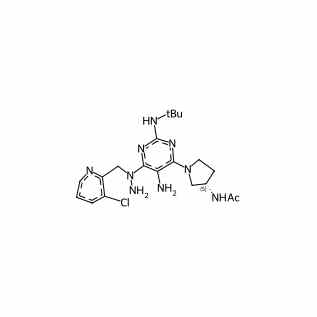 CC(=O)N[C@H]1CCN(c2nc(NC(C)(C)C)nc(N(N)Cc3ncccc3Cl)c2N)C1